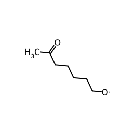 CC(=O)CCCCC[O]